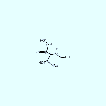 CNC(O)C(C(=O)NO)N(C)CO